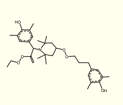 C=C(OOCC)C(c1cc(C)c(O)c(C)c1)N1C(C)(C)CC(OOCCCc2cc(C)c(O)c(C)c2)CC1(C)C